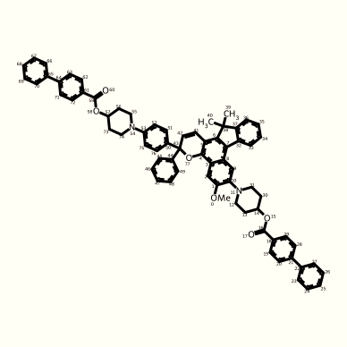 COc1cc2c3c(c4c(c2cc1N1CCC(OC(=O)c2ccc(-c5ccccc5)cc2)CC1)-c1ccccc1C4(C)C)C=CC(c1ccccc1)(c1ccc(N2CCC(OC(=O)c4ccc(-c5ccccc5)cc4)CC2)cc1)O3